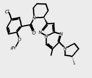 Cc1cn2nc([C@@H]3CCCCN3C(=O)c3cc(Cl)ccc3OC(C)C)cc2nc1N1CC[C@H](C)C1